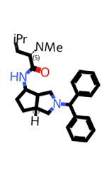 CN[C@@H](CC(C)C)C(=O)NC1CC[C@H]2CN(C(c3ccccc3)c3ccccc3)CC12